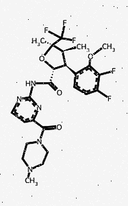 COc1c([C@H]2[C@H](C(=O)Nc3nccc(C(=O)N4CCN(C)CC4)n3)O[C@@](C)(C(F)(F)F)[C@H]2C)ccc(F)c1F